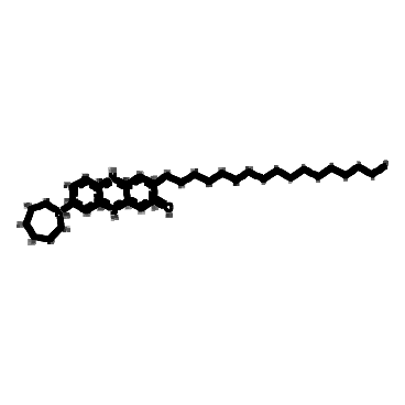 CCCCCCCCCCCCCCCCCc1cc2nc3ccc(N4CCCCCC4)cc3sc-2cc1=O